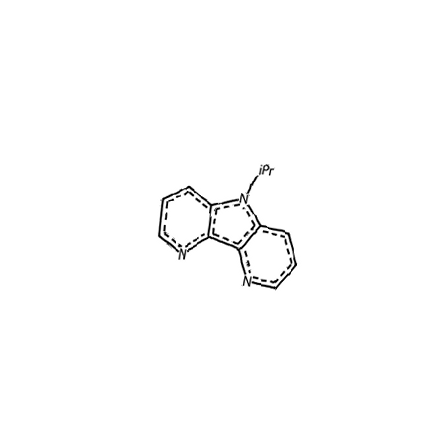 CC(C)n1c2cccnc2c2ncccc21